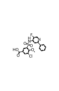 COc1c(Cl)cc(C(=O)O)cc1S(=O)(=O)Nc1cc(-c2ccccc2)ncc1F